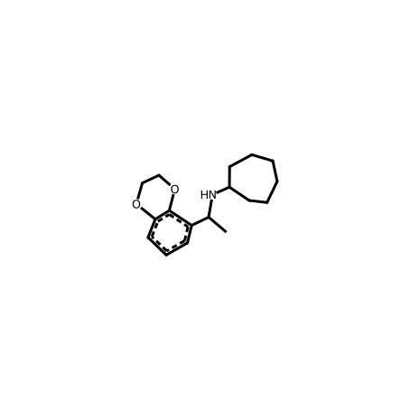 CC(NC1CCCCCC1)c1cccc2c1OCCO2